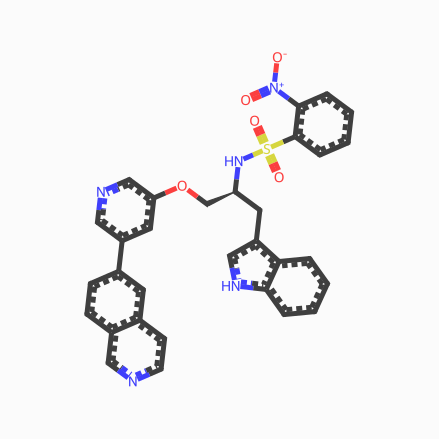 O=[N+]([O-])c1ccccc1S(=O)(=O)N[C@H](COc1cncc(-c2ccc3cnccc3c2)c1)Cc1c[nH]c2ccccc12